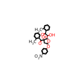 Cc1ccccc1C(=O)C(O)[C@H]1O[C@H](Oc2ccc([N+](=O)[O-])cc2)C[C@@]1(O)C(=O)c1ccccc1C